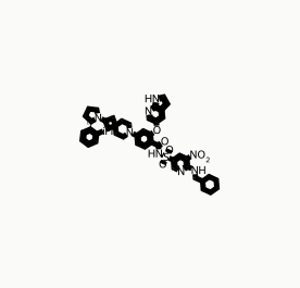 CC(C)c1ccccc1[C@@H]1CCCN1C1CC2(CCN(c3ccc(C(=O)NS(=O)(=O)c4cnc(NCC5CCCCC5)c([N+](=O)[O-])c4)c(Oc4cnc5[nH]ccc5c4)c3)CC2)C1